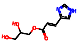 O=C(/C=C/c1c[nH]cn1)OCC(O)CO